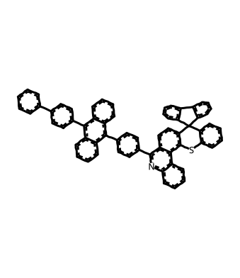 c1ccc(-c2ccc(-c3c4ccccc4c(-c4ccc(-c5nc6ccccc6c6c7c(ccc56)C5(c6ccccc6S7)c6ccccc6-c6ccccc65)cc4)c4ccccc34)cc2)cc1